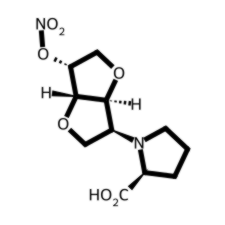 O=C(O)[C@@H]1CCCN1[C@H]1CO[C@H]2[C@H]1OC[C@H]2O[N+](=O)[O-]